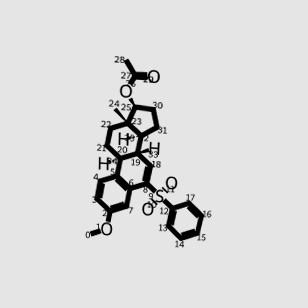 COc1ccc2c(c1)C(S(=O)(=O)c1ccccc1)=C[C@@H]1[C@@H]2CC[C@]2(C)[C@@H](OC(C)=O)CC[C@@H]12